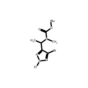 CCn1nc(Br)c(C(C)N(C)C(=O)OC(C)(C)C)n1